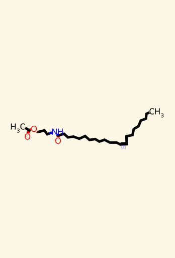 CCCCCCCC/C=C\CCCCCCCCCCCC(=O)NCCCOC(C)=O